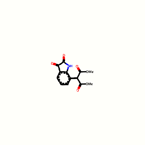 COC(=O)C(C(=O)OC)c1cccc2c1NC(=O)C2=O